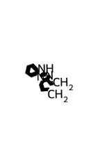 C=C/C=C\c1c(C=C)nc2[nH]c3ccccc3n12